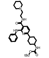 CC(C)(C)OC(=O)NC1CCC(c2ccc(C(=O)NCCN3CCCCC3)c(Nc3ccccc3)n2)CC1